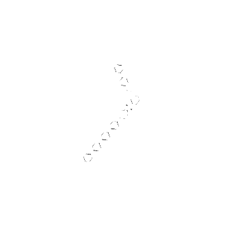 O=C(Cn1cc(S(=O)(=O)N2CCC(c3ccc(-c4ccc(-c5ccc(-c6ccccc6)cc5)cc4)cc3)CC2)ccc1=O)c1ccc(-c2cccc(C(F)(F)F)c2)cc1